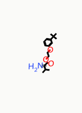 CC(C)[C@H](N)C(=O)OCCOc1cccc(C(C)(C)C)c1